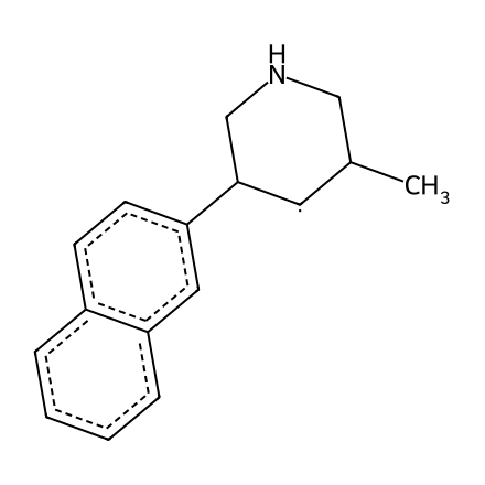 CC1[CH]C(c2ccc3ccccc3c2)CNC1